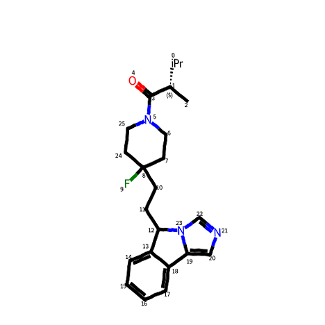 CC(C)[C@H](C)C(=O)N1CCC(F)(CCC2c3ccccc3-c3cncn32)CC1